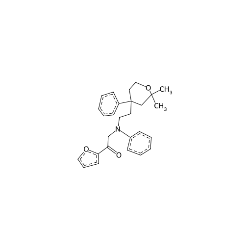 CC1(C)CC(CCN(CC(=O)c2ccco2)c2ccccc2)(c2ccccc2)CCO1